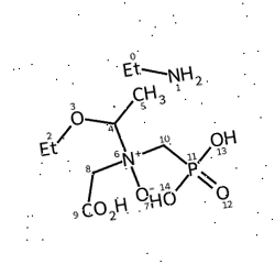 CCN.CCOC(C)[N+]([O-])(CC(=O)O)CP(=O)(O)O